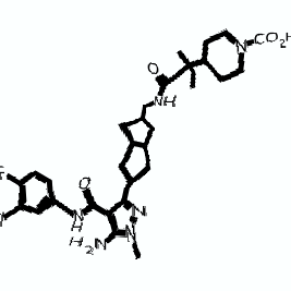 Cn1nc(C2CC3CC(CNC(=O)C(C)(C)C4CCN(C(=O)O)CC4)CC3C2)c(C(=O)Nc2ccc(F)c(Cl)c2)c1N